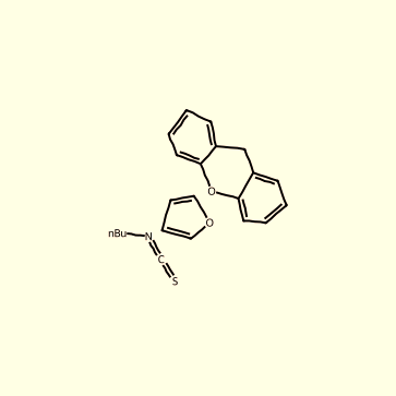 CCCCN=C=S.c1ccc2c(c1)Cc1ccccc1O2.c1ccoc1